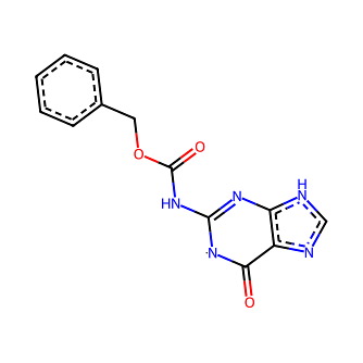 O=C(NC1=Nc2[nH]cnc2C(=O)[N]1)OCc1ccccc1